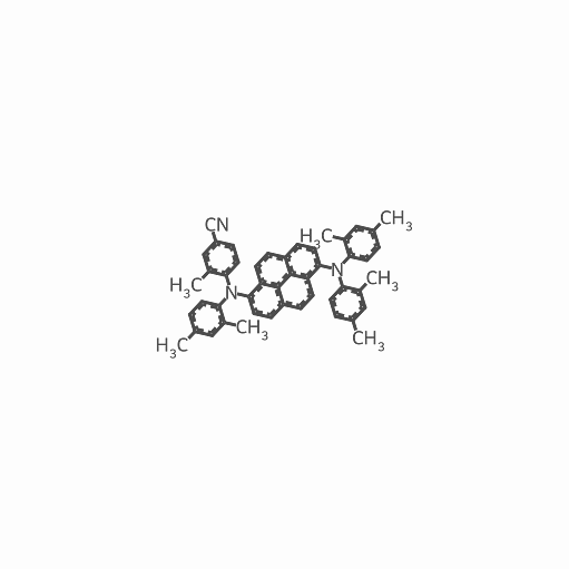 Cc1ccc(N(c2ccc(C)cc2C)c2ccc3ccc4c(N(c5ccc(C)cc5C)c5ccc(C#N)cc5C)ccc5ccc2c3c54)c(C)c1